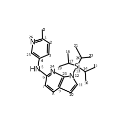 Cc1ccc(Nc2ccc3ccn([Si](C(C)C)(C(C)C)C(C)C)c3n2)cn1